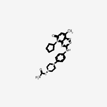 Cc1cc(=O)n(C2CCCC2)c2nc(Nc3ccc(N4CCN(OC(N)=O)CC4)cc3)nnc12